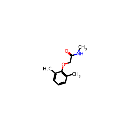 CNC(=O)COc1c(C)cccc1C